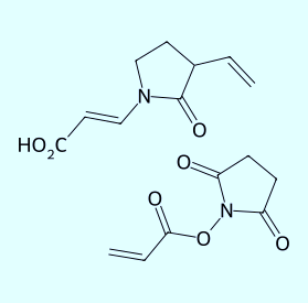 C=CC(=O)ON1C(=O)CCC1=O.C=CC1CCN(C=CC(=O)O)C1=O